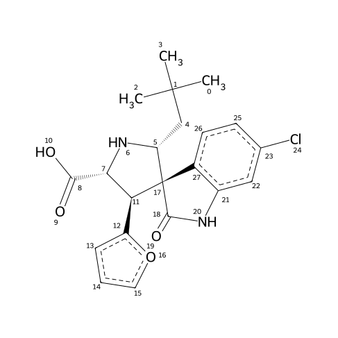 CC(C)(C)C[C@H]1N[C@@H](C(=O)O)[C@H](c2ccco2)[C@@]12C(=O)Nc1cc(Cl)ccc12